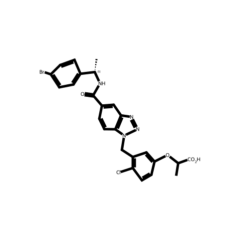 CC(Oc1ccc(Cl)c(Cn2nnc3cc(C(=O)N[C@@H](C)c4ccc(Br)cc4)ccc32)c1)C(=O)O